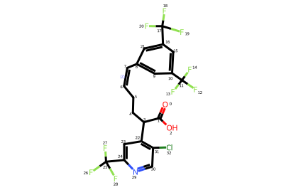 O=C(O)C(CC/C=C\c1cc(C(F)(F)F)cc(C(F)(F)F)c1)c1cc(C(F)(F)F)ncc1Cl